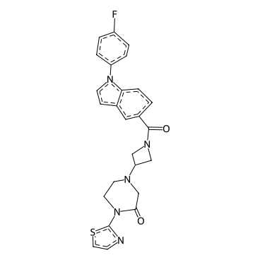 O=C(c1ccc2c(ccn2-c2ccc(F)cc2)c1)N1CC(N2CCN(c3nccs3)C(=O)C2)C1